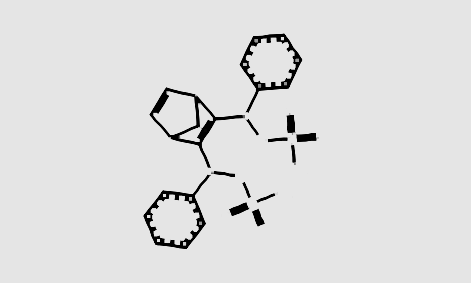 O=S(=O)(OI(C1=C(I(OS(=O)(=O)C(F)(F)F)c2ccccc2)C2C=CC1C2)c1ccccc1)C(F)(F)F